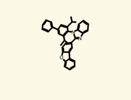 CC(C)c1cc(-c2ccccc2)cc(C(C)C)c1-n1c(-c2ccc3oc4ccccc4c3c2)nc2ccccc21